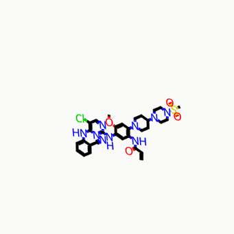 C=CC(=O)Nc1cc(Nc2ncc(Cl)c(Nc3ccccc3C#N)n2)c(OC)cc1N1CCC(N2CCN(S(C)(=O)=O)CC2)CC1